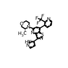 C[C@@H]1COCCN1c1cc(-c2cccnc2C(F)(F)F)c2snc(-c3ccn[nH]3)c2n1